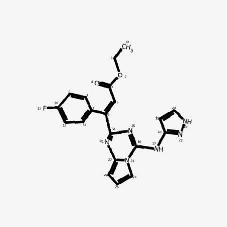 CCOC(=O)C=C(c1ccc(F)cc1)c1nc(Nc2cc[nH]n2)n2cccc2n1